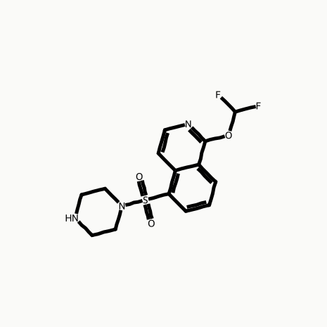 O=S(=O)(c1cccc2c(OC(F)F)nccc12)N1CCNCC1